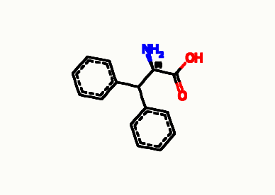 N[C@@H](C(=O)O)C(c1ccccc1)c1ccccc1